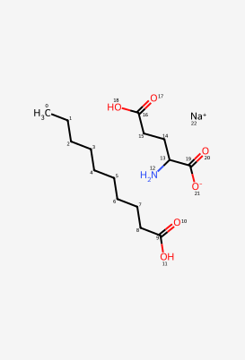 CCCCCCCCCC(=O)O.NC(CCC(=O)O)C(=O)[O-].[Na+]